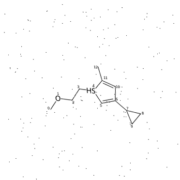 COCC[SH]1C=C(C2CC2)C=C1C